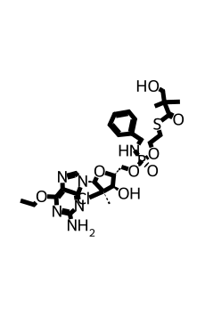 CCOc1nc(N)nc2c1ncn2[C@@H]1O[C@H](COP(=O)(NCc2ccccc2)OCCSC(=O)C(C)(C)CO)[C@@H](O)[C@@]1(C)Cl